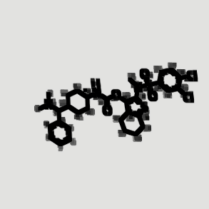 CN(C)C(c1ccccc1)C1CCC(NC(=O)Oc2c(N(C)S(=O)(=O)c3ccc(Cl)c(Cl)c3)sc3c2CCCC3)CC1